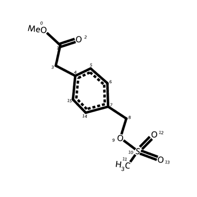 COC(=O)Cc1ccc(COS(C)(=O)=O)cc1